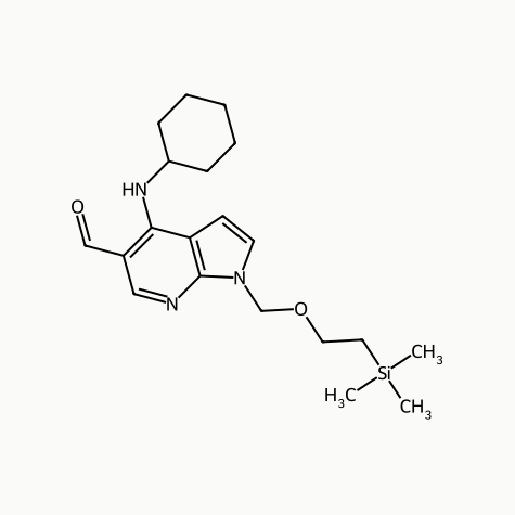 C[Si](C)(C)CCOCn1ccc2c(NC3CCCCC3)c(C=O)cnc21